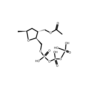 CC(=O)OC[C@H]1C[C@H](C)O[C@@H]1COP(=O)(O)OP(=O)(O)OP(=O)(O)O